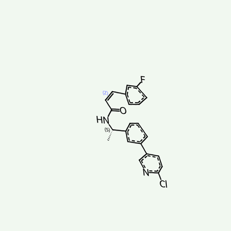 C[C@H](NC(=O)/C=C\c1cccc(F)c1)c1cccc(-c2ccc(Cl)nc2)c1